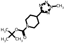 Cn1nnc(C2CCN(C(=O)OC(C)(C)C)CC2)n1